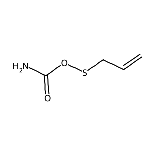 C=CCSOC(N)=O